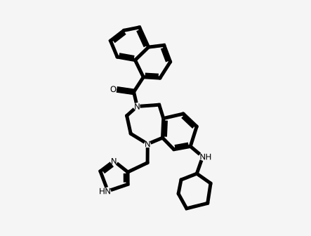 O=C(c1cccc2ccccc12)N1CCN(Cc2c[nH]cn2)c2cc(NC3CCCCC3)ccc2C1